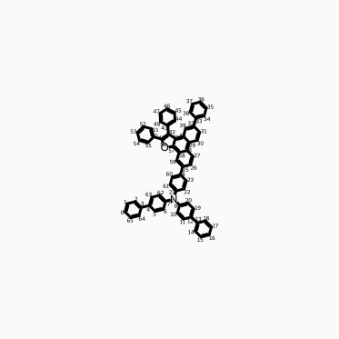 c1ccc(-c2ccc(N(c3ccc(-c4ccccc4)cc3)c3ccc(-c4ccc5c6ccc(-c7ccccc7)cc6c6c(-c7ccccc7)c(-c7ccccc7)oc6c5c4)cc3)cc2)cc1